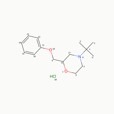 CC(C)(C)N1CCOC(COc2ccccc2)C1.Cl